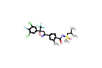 Cc1cc(C2=NOC(c3cc(Cl)c(F)c(Cl)c3)(C(F)(F)F)C2)ccc1C(=O)N=S(C)(=O)CC(C)C